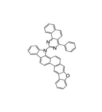 c1ccc(-c2nc(-n3c4ccccc4c4ccc5c6cc7c(cc6ccc5c43)oc3ccccc37)nc3c2ccc2ccccc23)cc1